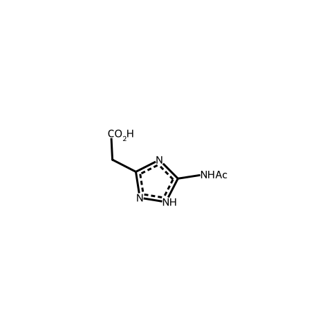 CC(=O)Nc1nc(CC(=O)O)n[nH]1